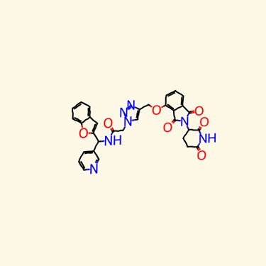 O=C1CCC(N2C(=O)c3cccc(OCc4cn(CC(=O)NC(c5cccnc5)c5cc6ccccc6o5)nn4)c3C2=O)C(=O)N1